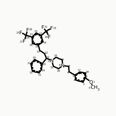 COc1ccc(CCN2CCN(C([CH]Cc3cc(C(F)(F)F)cc(C(F)(F)F)c3)c3ccccc3)CC2)cc1